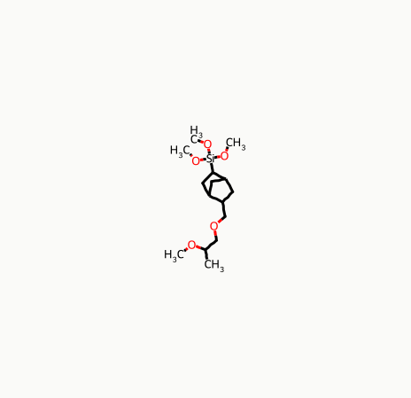 COC(C)COCC1CC2CC1CC2[Si](OC)(OC)OC